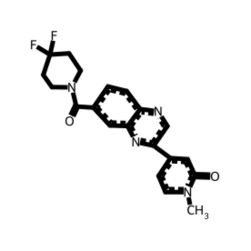 Cn1ccc(-c2cnc3ccc(C(=O)N4CCC(F)(F)CC4)cc3n2)cc1=O